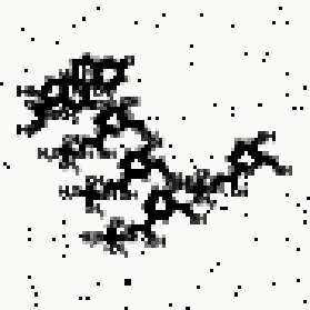 CC(C)(C)NCC(O)c1ccc(O)c(CO)c1.CC(C)(C)NCC(O)c1ccc(O)c(CO)c1.CC(C)(C)NCC(O)c1ccc(O)c(CO)n1.CC(C)(C)NCC(O)c1ccc(O)c(CO)n1.C[C@]12C=CC(=O)C=C1CC[C@H]1[C@@H]3C[C@@H](O)[C@](O)(C(=O)CO)[C@@]3(C)C[C@H](O)[C@@]12F